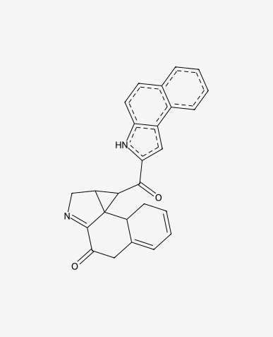 O=C1CC2=CC=CCC2C23C1=NCC2C3C(=O)c1cc2c(ccc3ccccc32)[nH]1